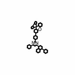 c1ccc(-c2cc(-c3ccc(-c4ccccc4)c4ccccc34)nc(-c3ccc(-c4ccc5c(c4)Oc4ccccc4C54c5ccccc5-c5ccccc54)cc3)n2)cc1